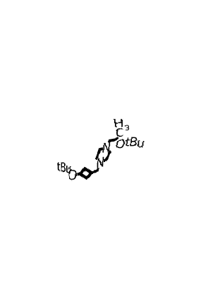 CC(CN1CCN(CC2CC(OC(C)(C)C)C2)CC1)OC(C)(C)C